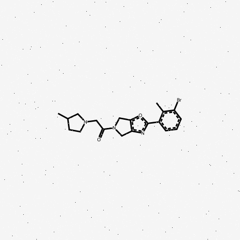 Cc1c(Br)cccc1-c1nc2c(o1)CN(C(=O)CN1CCC(C)C1)C2